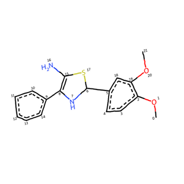 COc1ccc(C2NC(c3ccccc3)=C(N)S2)cc1OC